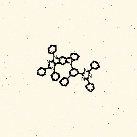 c1ccc(-c2cc(-c3nc(-c4ccccc4)nc(-c4ccccc4)n3)cc(-n3c4ccccc4c4cc5c(cc43)c3c(nc(-c4ccccc4)n3-c3ccccc3)n5-c3ccccc3)c2)cc1